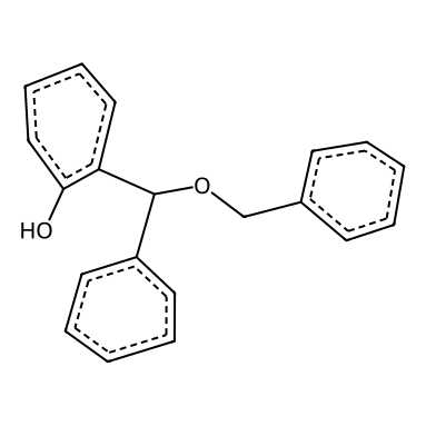 Oc1ccccc1C(OCc1ccccc1)c1ccccc1